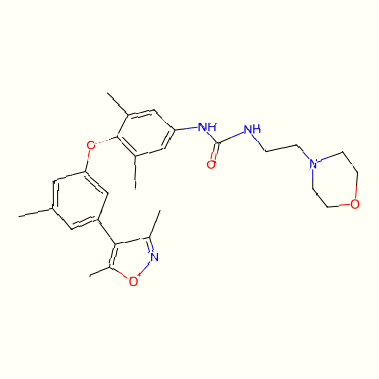 Cc1cc(Oc2c(C)cc(NC(=O)NCCN3CCOCC3)cc2C)cc(-c2c(C)noc2C)c1